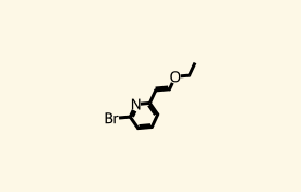 CCOC=Cc1cccc(Br)n1